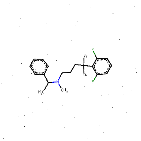 CC(c1ccccc1)N(C)CCCC(C#N)(c1c(F)cccc1F)C(C)C